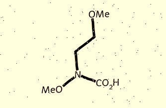 COCCN(OC)C(=O)O